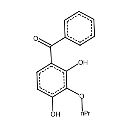 CCCOc1c(O)ccc(C(=O)c2ccccc2)c1O